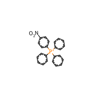 O=[N+]([O-])c1ccc([P+](c2ccccc2)(c2ccccc2)c2ccccc2)cc1